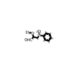 CCOC(C=O)CN(CC)c1ccccc1